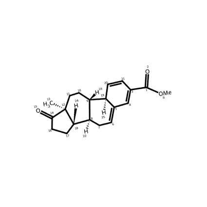 COC(=O)C1=CC2=CC[C@@H]3[C@H](CC[C@]4(C)C(=O)CC[C@@H]34)[C@H]2C=C1